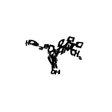 Cc1[nH]c(C(=O)N[C@@H]2CCN(C(=O)O)C[C@@H]2n2cc(CO)nn2)c(Cl)c1Cl